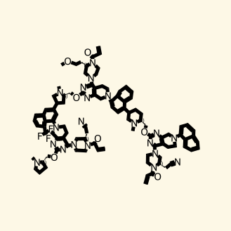 C=CC(=O)N1CCN(c2nc(OC[C@H]3CCC(c4ccc(N5CCc6c(nc(OC[C@@H]7CC(c8cc(N9CCc%10c(nc(OC[C@@H]%11CCCN%11C)nc%10N%10CCN(C(=O)C=C)[C@@H](CC#N)C%10)C9)c9c(C(F)(F)F)cccc9c8)CN7C)nc6N6CCN(C(=O)C=C)[C@@H](CCOC)C6)C5)c5ccccc45)CN3C)nc3c2CCN(c2cccc4ccccc24)C3)C[C@@H]1CC#N